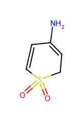 NC1=CCS(=O)(=O)C=C1